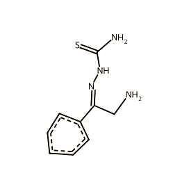 NCC(=NNC(N)=S)c1ccccc1